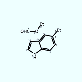 CCOC=O.CCc1ccc2[nH]ccc2c1